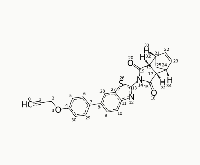 C#CCOc1ccc(-c2ccc3nc(N4C(=O)[C@@H]5[C@H](C4=O)[C@@H]4C=C[C@H]5C4)sc3c2)cc1